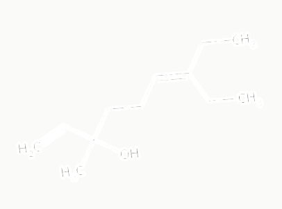 C=CC(C)(O)CCC=C(CC)CC